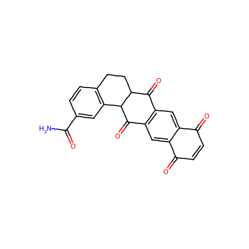 NC(=O)c1ccc2c(c1)C1C(=O)c3cc4c(cc3C(=O)C1CC2)C(=O)C=CC4=O